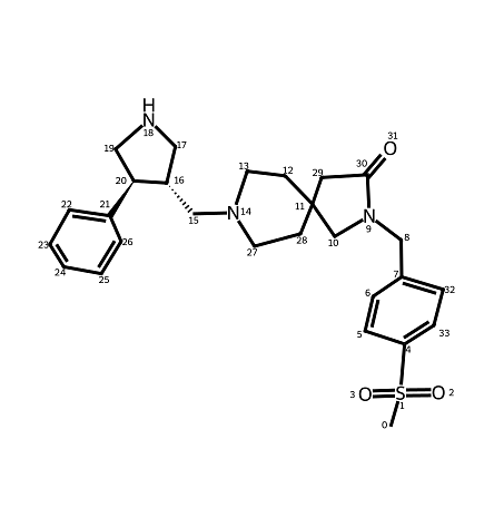 CS(=O)(=O)c1ccc(CN2CC3(CCN(C[C@H]4CNC[C@@H]4c4ccccc4)CC3)CC2=O)cc1